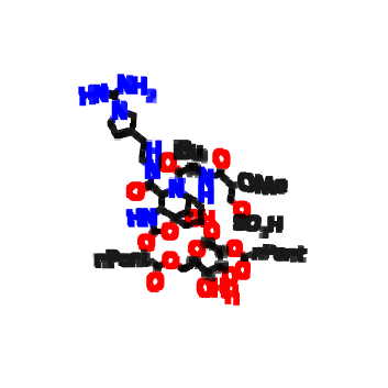 CCCCCC(=O)OC[C@H]1O[C@H](OC2CC3C(O)C4(C2)OC(=O)NC4C(C(=O)NCCC2=CCN(C(=N)N)C2)N3C(=O)[C@H](NC(=O)C(COS(=O)(=O)O)OC)[C@@H](C)CC)[C@H](OC(=O)CCCCC)[C@@H](O)[C@@H]1O